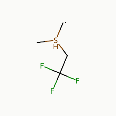 [CH2][SH](C)CC(F)(F)F